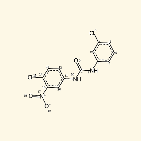 O=C(Nc1cccc(Cl)c1)Nc1ccc(Cl)c([N+](=O)[O-])c1